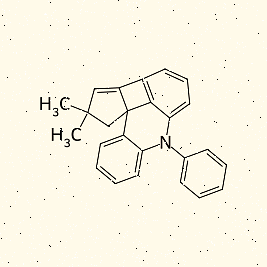 CC1(C)C=C2c3cccc4c3C2(C1)c1ccccc1N4c1ccccc1